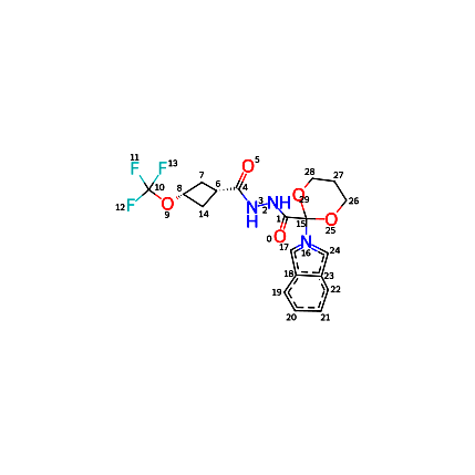 O=C(NNC(=O)[C@H]1C[C@@H](OC(F)(F)F)C1)C1(n2cc3ccccc3c2)OCCCO1